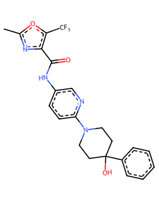 Cc1nc(C(=O)Nc2ccc(N3CCC(O)(c4ccccc4)CC3)nc2)c(C(F)(F)F)o1